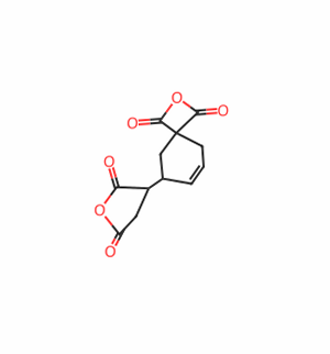 O=C1CC(C2C=CCC3(C2)C(=O)OC3=O)C(=O)O1